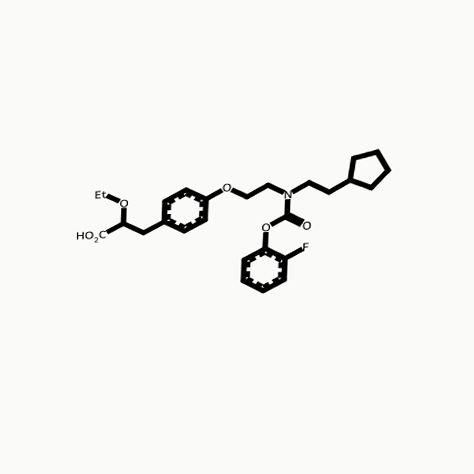 CCOC(Cc1ccc(OCCN(CCC2CCCC2)C(=O)Oc2ccccc2F)cc1)C(=O)O